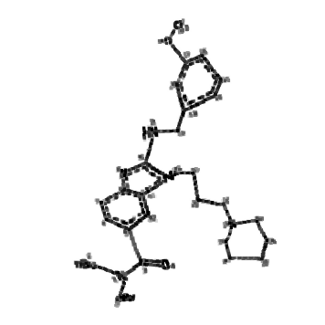 CCCCN(CCCC)C(=O)c1ccc2nc(NCc3cccc(OC(F)(F)F)c3)n(CCCN3CCCCC3)c2c1